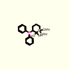 CCCC1(OC)C(P(c2ccccc2)c2ccccc2)CCC[Si]1(OC)OC